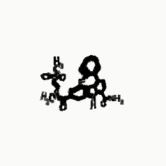 CN(CCS(C)(=O)=O)C(=O)c1ccc2c(c1)[nH]c1c(C(N)=O)ccc(-c3ccccc3F)c12